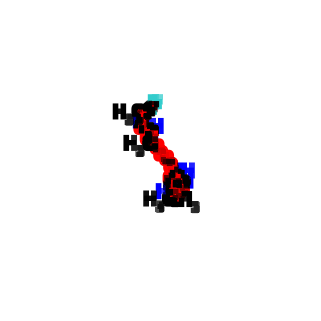 CN[C@@H](C)C(=O)N[C@H](C(=O)N1CCC[C@H]1C(=O)Nc1sc(NC(=O)COCCOCCOCCOCCN(C)C(=O)Cc2cccc(CNC(=O)c3cc(/C=C/[C@H]4CC[C@H](C(F)(F)F)CC4)c(OC)cn3)c2)nc1-c1ccccc1)C1CCCCC1